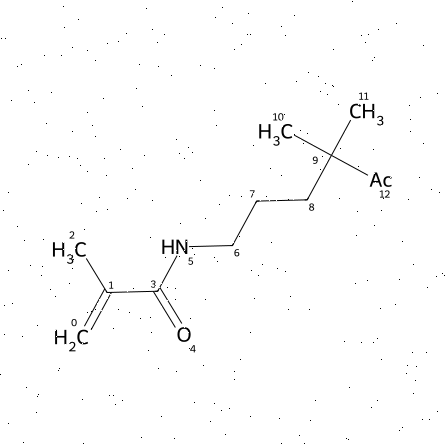 C=C(C)C(=O)NCCCC(C)(C)C(C)=O